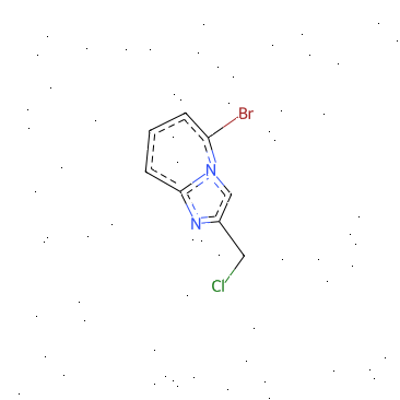 ClCc1cn2c(Br)cccc2n1